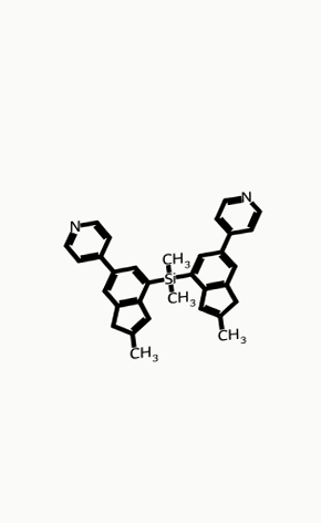 CC1=Cc2c(cc(-c3ccncc3)cc2[Si](C)(C)c2cc(-c3ccncc3)cc3c2C=C(C)C3)C1